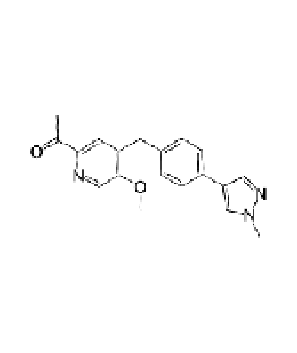 COc1cnc(C(C)=O)cc1Cc1ccc(-c2cnn(C)c2)cc1